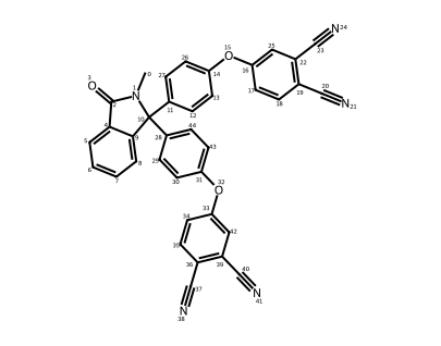 CN1C(=O)c2ccccc2C1(c1ccc(Oc2ccc(C#N)c(C#N)c2)cc1)c1ccc(Oc2ccc(C#N)c(C#N)c2)cc1